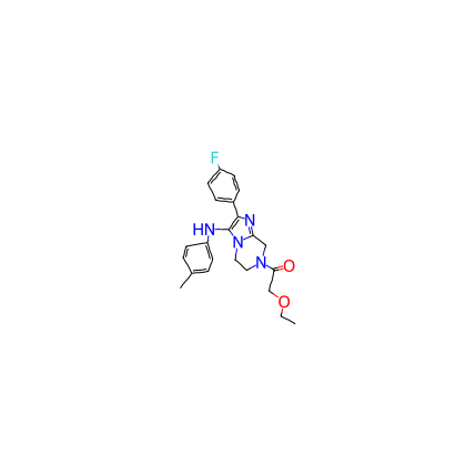 CCOCC(=O)N1CCn2c(nc(-c3ccc(F)cc3)c2Nc2ccc(C)cc2)C1